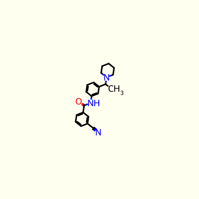 CC(c1cccc(NC(=O)c2cccc(C#N)c2)c1)N1CCCCC1